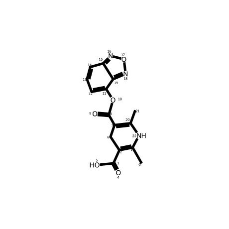 CC1=C(C(=O)O)CC(C(=O)Oc2cccc3nonc23)=C(C)N1